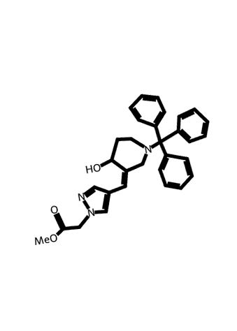 COC(=O)Cn1cc(C=C2CN(C(c3ccccc3)(c3ccccc3)c3ccccc3)CCC2O)cn1